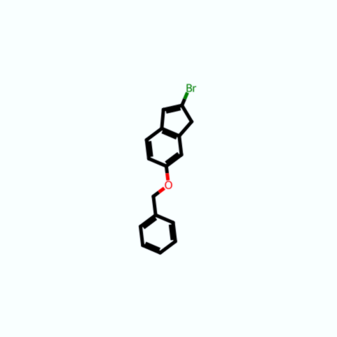 BrC1=Cc2ccc(OCc3ccccc3)cc2C1